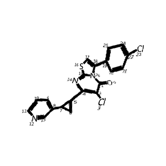 O=c1c(Cl)c(C2CC2c2cccnc2)nc2scc(-c3ccc(Cl)cc3)n12